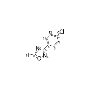 Clc1ccc(-c2noc(I)n2)cc1